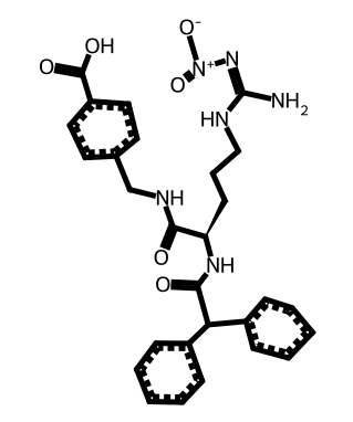 N/C(=N/[N+](=O)[O-])NCCC[C@@H](NC(=O)C(c1ccccc1)c1ccccc1)C(=O)NCc1ccc(C(=O)O)cc1